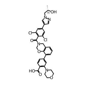 C[C@H](O)Cn1cc(-c2cc(Cl)c(C(=O)N3COc4c(cccc4-c4ccc(C(=O)O)c(N5CCOCC5)c4)C3)c(Cl)c2)cn1